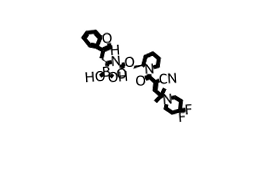 CC(C)(/C=C(\C#N)C(=O)N1CCCC[C@@H]1COC(=O)N[C@@H](Cc1coc2ccccc12)B(O)O)N1CCC(F)(F)CC1